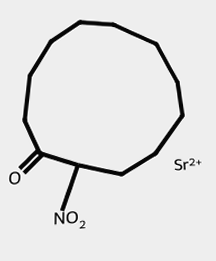 O=C1CCCCCCCCCCC1[N+](=O)[O-].[Sr+2]